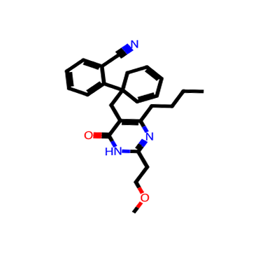 CCCCc1nc(CCOC)[nH]c(=O)c1CC1(c2ccccc2C#N)C=CC=CC1